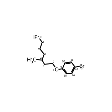 CC(C)CCCC(C)CCOc1ccc(Br)cc1